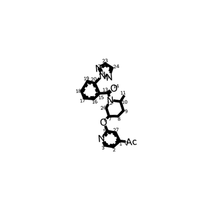 CC(=O)c1ccnc(OC2CCC(C)N(C(=O)c3ccccc3-n3nccn3)C2)c1